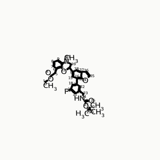 CCOC(=O)Cc1cccc2c1OC(c1cc(-c3cc(F)cc(CNC(=O)OC(C)(C)C)c3)c3occc3c1)CN2C